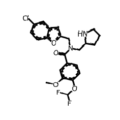 COc1cc(C(=O)N(Cc2cc3cc(Cl)ccc3o2)CC2CCCN2)ccc1OC(F)F